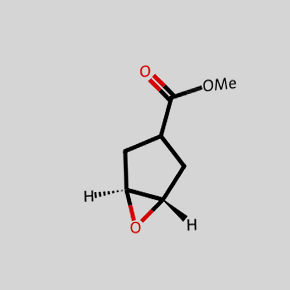 COC(=O)C1C[C@@H]2O[C@H]2C1